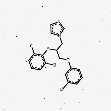 Clc1cccc(OCC(Cn2ccnc2)Sc2c(Cl)cccc2Cl)c1